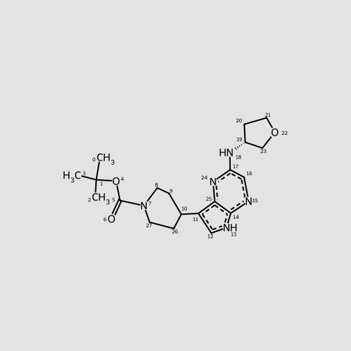 CC(C)(C)OC(=O)N1CCC(c2c[nH]c3ncc(N[C@@H]4CCOC4)nc23)CC1